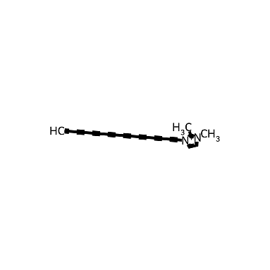 C#CC#CC#CC#CC#CC#CC#CC#C[n+]1ccn(C)c1C